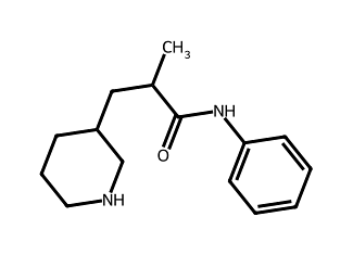 CC(CC1CCCNC1)C(=O)Nc1ccccc1